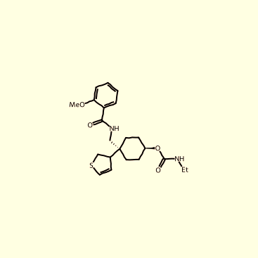 CCNC(=O)O[C@H]1CC[C@@](CNC(=O)c2ccccc2OC)(C2C=CSC2)CC1